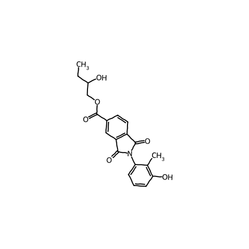 CCC(O)COC(=O)c1ccc2c(c1)C(=O)N(c1cccc(O)c1C)C2=O